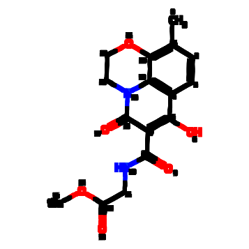 Cc1ccc2c(O)c(C(=O)NCC(=O)OC(C)(C)C)c(=O)n3c2c1OCC3